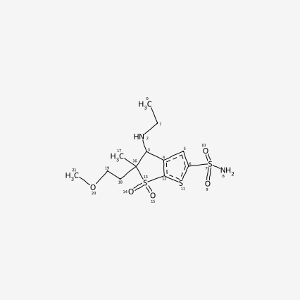 CCNC1c2cc(S(N)(=O)=O)sc2S(=O)(=O)C1(C)CCOC